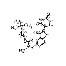 CN(Cc1ccc2c(c1)C(=O)N(C1CCC(=O)NC1=O)C2)C(=O)OC12CC(C(C)(C)C)(C1)C2